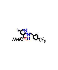 COC(=O)c1cc(I)cnc1NCc1ccc(C(F)(F)F)cc1